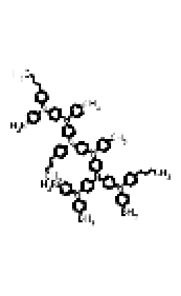 Bc1ccc(N(c2ccc(B)cc2)c2ccc(N(c3ccc(N(c4ccc(B)cc4)c4ccc(CCCC)cc4)cc3)c3ccc(N(c4ccc(C)cc4)c4ccc(N(c5ccc(CCCC)cc5)c5ccc(N(c6ccc(C)cc6)c6ccc(N(c7ccc(B)cc7)c7ccc(CCCC)cc7)cc6)cc5)cc4)cc3)cc2)cc1